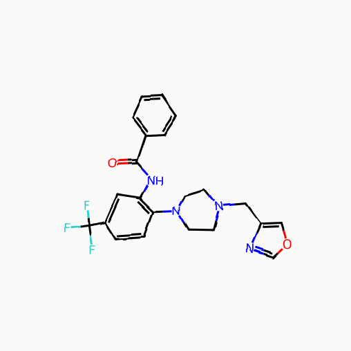 O=C(Nc1cc(C(F)(F)F)ccc1N1CCN(Cc2cocn2)CC1)c1ccccc1